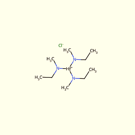 CC[N](C)[Hf+]([N](C)CC)[N](C)CC.[Cl-]